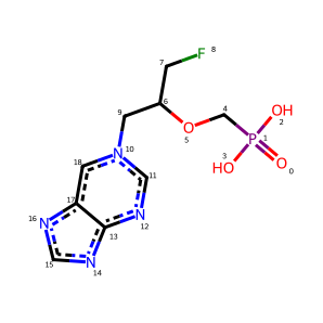 O=P(O)(O)COC(CF)Cn1cnc2ncnc-2c1